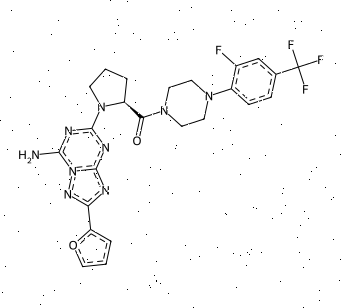 Nc1nc(N2CCC[C@H]2C(=O)N2CCN(c3ccc(C(F)(F)F)cc3F)CC2)nc2nc(-c3ccco3)nn12